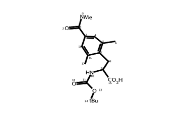 CNC(=O)c1cc(C)c(CC(NC(=O)OC(C)(C)C)C(=O)O)c(C)c1